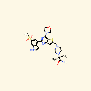 CC(C)(C(N)=O)N1CCN(Cc2cc3nc(-c4cc(S(C)(=O)=O)cc5[nH]ccc45)nc(N4CCOCC4)c3s2)CC1